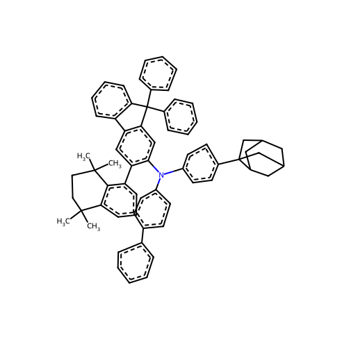 CC1(C)CCC(C)(C)c2c(-c3cc4c(cc3N(c3ccc(-c5ccccc5)cc3)c3ccc(C56CC7CC(CC5C7)C6)cc3)C(c3ccccc3)(c3ccccc3)c3ccccc3-4)cccc21